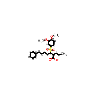 CCCC(C(=O)O)C(CCCCc1ccccc1)S(=O)(=O)c1ccc(OC)c(OC)c1